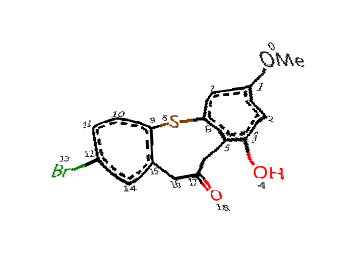 COc1cc(O)c2c(c1)Sc1ccc(Br)cc1CC2=O